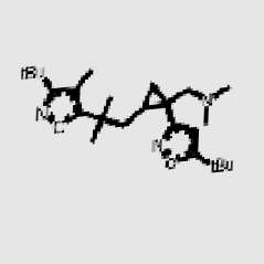 Cc1c(C(C)(C)C)noc1C(C)(C)CC1CC1(CN(C)C)c1cc(C(C)(C)C)on1